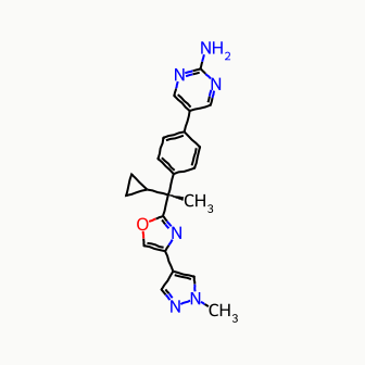 Cn1cc(-c2coc([C@@](C)(c3ccc(-c4cnc(N)nc4)cc3)C3CC3)n2)cn1